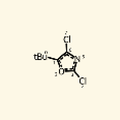 CC(C)(C)c1oc(Cl)nc1Cl